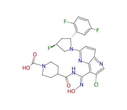 O=C(N/C(=N\O)c1c(Cl)cnc2ccc(N3C[C@@H](F)C[C@@H]3c3cc(F)ccc3F)nc12)C1CCN(C(=O)O)CC1